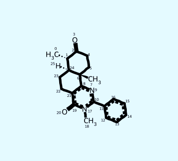 C[C@@H]1C(=O)CC[C@]2(C)c3nc(-c4ccccc4)n(C)c(=O)c3CC[C@@H]12